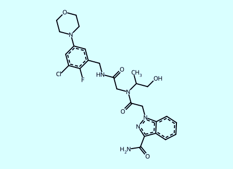 CC(CO)N(CC(=O)NCc1cc(N2CCOCC2)cc(Cl)c1F)C(=O)Cn1nc(C(N)=O)c2ccccc21